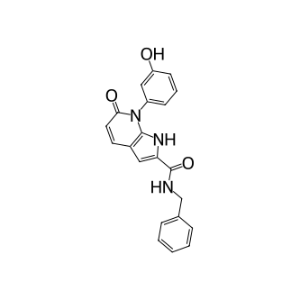 O=C(NCc1ccccc1)c1cc2ccc(=O)n(-c3cccc(O)c3)c2[nH]1